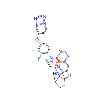 C=CC(=O)N1CC2CC[C@@H](C1)[C@@H]2c1ccc2ncnc(Nc3ccc(Oc4ccn5ncnc5c4)c(C)c3F)c2n1